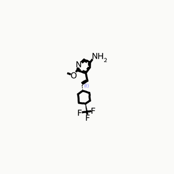 COc1ncc(N)cc1/C=C/[C@H]1CC[C@H](C(F)(F)F)CC1